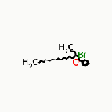 CCCCCCCCCCCCCCC(CCC)C(Br)C(=O)c1ccccc1